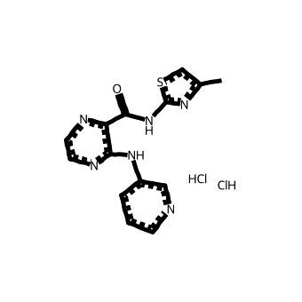 Cc1csc(NC(=O)c2nccnc2Nc2cccnc2)n1.Cl.Cl